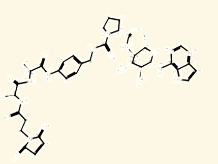 CC(C)[C@H](NC(=O)CCN1C(=O)C=CC1=O)C(=O)N[C@@H](C)C(=O)Nc1ccc(COC(=O)N2CCC[C@@H]2C(=O)N[C@@H]2[C@@H](O)[C@H](O)[C@@H](Nc3ncnc4cc[nH]c34)O[C@H]2C)cc1